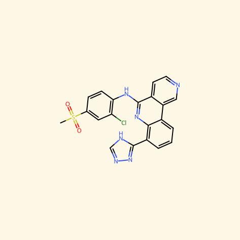 CS(=O)(=O)c1ccc(Nc2nc3c(-c4nnc[nH]4)cccc3c3cnccc23)c(Cl)c1